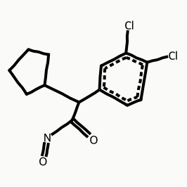 O=NC(=O)C(c1ccc(Cl)c(Cl)c1)C1CCCC1